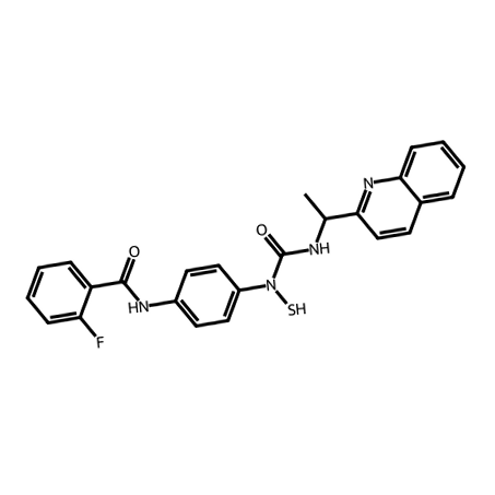 CC(NC(=O)N(S)c1ccc(NC(=O)c2ccccc2F)cc1)c1ccc2ccccc2n1